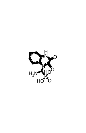 NC(n1c(=O)c(=O)[nH]c2ccccc21)P(=O)(O)O